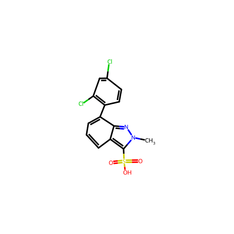 Cn1nc2c(-c3ccc(Cl)cc3Cl)cccc2c1S(=O)(=O)O